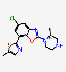 Cc1cnc(-c2cc(Cl)cc3nc(N4CCNC[C@@H]4C)oc23)s1